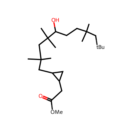 COC(=O)CC1CC1CC(C)(C)CC(C)(C)C(O)CCC(C)(C)CC(C)(C)C